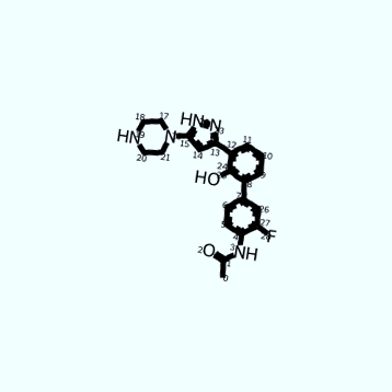 CC(=O)Nc1ccc(-c2cccc(-c3cc(N4CCNCC4)[nH]n3)c2O)cc1F